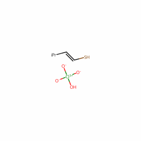 CC(C)C=CS.[O-][Cl+3]([O-])([O-])O